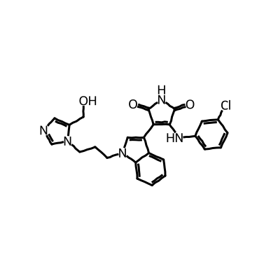 O=C1NC(=O)C(c2cn(CCCn3cncc3CO)c3ccccc23)=C1Nc1cccc(Cl)c1